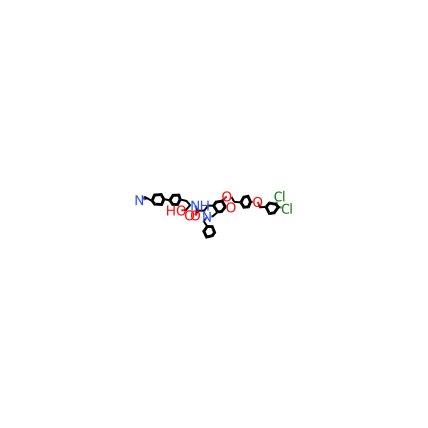 N#Cc1ccc(-c2ccc(CC(NC(=O)C3Cc4cc5c(cc4CN3Cc3ccccc3)OC(c3ccc(OCc4ccc(Cl)c(Cl)c4)cc3)CO5)C(=O)O)cc2)cc1